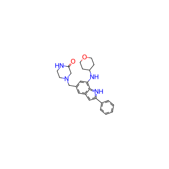 O=C1CN(Cc2cc(NC3CCOCC3)c3[nH]c(-c4ccccc4)cc3c2)CCN1